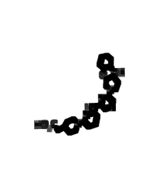 O=C(O)CC1CCN(c2cccc(Nc3cncc(N4CCCC(OC5=C(O)CCC=C5)C4)n3)n2)CC1